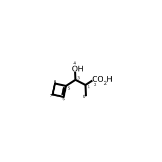 CC(C(=O)O)C(O)C1=CCC1